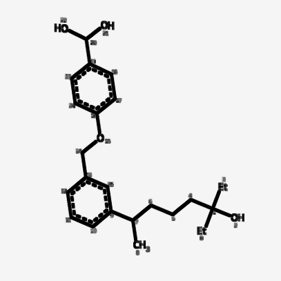 CCC(O)(CC)CCCC(C)c1cccc(COc2ccc(C(O)O)cc2)c1